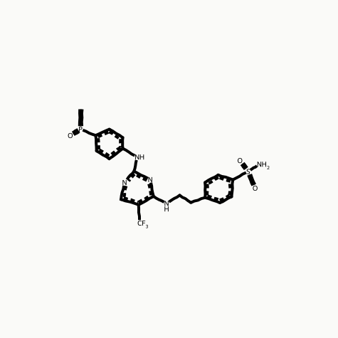 C=P(=O)c1ccc(Nc2ncc(C(F)(F)F)c(NCCc3ccc(S(N)(=O)=O)cc3)n2)cc1